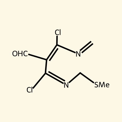 C=N/C(Cl)=C(C=O)\C(Cl)=N/CSC